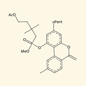 C=C1Oc2cc(CCCCC)cc(OP(=O)(CC(C)(C)CCOC(C)=O)OC)c2-c2cc(C)ccc21